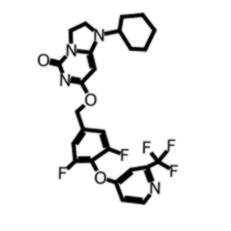 O=c1nc(OCc2cc(F)c(Oc3ccnc(C(F)(F)F)c3)c(F)c2)cc2n1CCN2C1CCCCC1